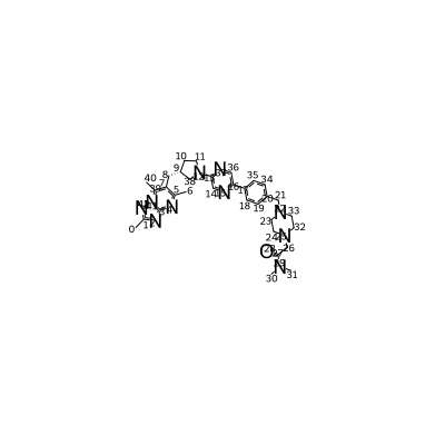 Cc1nc2nc(C)c(C[C@@H]3CCN(c4cnc(-c5ccc(CN6CCN(CC(=O)N(C)C)CC6)cc5)cn4)C3)c(C)n2n1